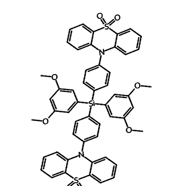 COc1cc(OC)cc([Si](c2ccc(N3c4ccccc4S(=O)(=O)c4ccccc43)cc2)(c2ccc(N3c4ccccc4S(=O)(=O)c4ccccc43)cc2)c2cc(OC)cc(OC)c2)c1